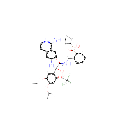 CCOc1cc([C@](Nc2ccc3c(N)nccc3c2)(OC(=O)C(F)(F)F)C(=O)NCc2ccccc2S(=O)(=O)C2CCC2)ccc1OC(C)C